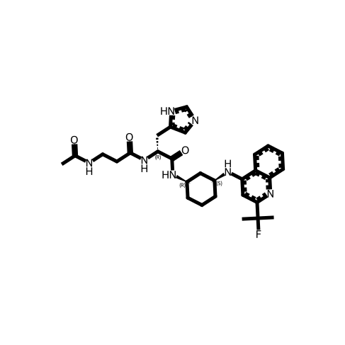 CC(=O)NCCC(=O)N[C@H](Cc1cnc[nH]1)C(=O)N[C@@H]1CCC[C@H](Nc2cc(C(C)(C)F)nc3ccccc23)C1